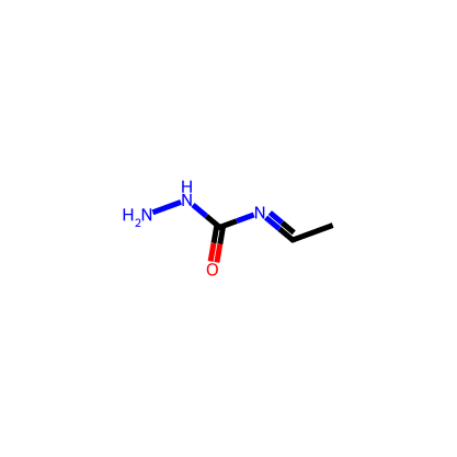 CC=NC(=O)NN